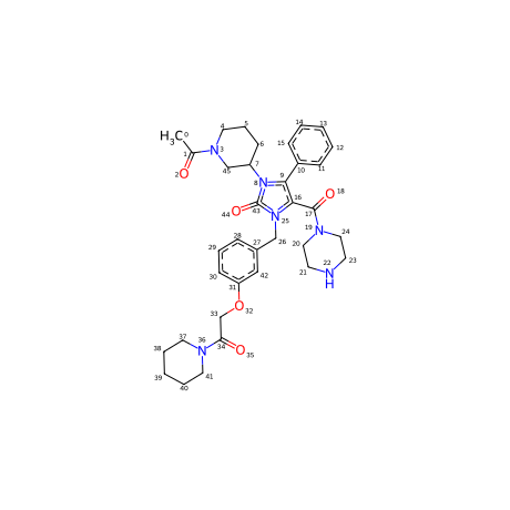 CC(=O)N1CCCC(n2c(-c3ccccc3)c(C(=O)N3CCNCC3)n(Cc3cccc(OCC(=O)N4CCCCC4)c3)c2=O)C1